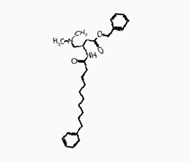 CN(C)C[C@@H](CC(=O)OCc1ccccc1)NC(=O)CCCCCCCCCc1ccccc1